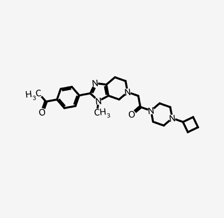 CC(=O)c1ccc(-c2nc3c(n2C)CN(CC(=O)N2CCN(C4CCC4)CC2)CC3)cc1